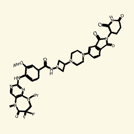 COC1=CC(C(=O)NN2CC(N3CCN(c4ccc5c(c4)C(=O)N(C4CCC(=O)NC4=O)C5=O)CC3)C2)CC=C1Nc1ncc2c(n1)N(C(C)C)CC(F)(F)C(=O)N2C